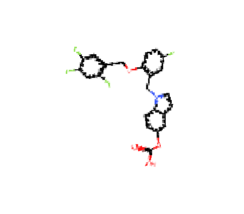 O=C(O)Oc1ccc2c(ccn2Cc2cc(F)ccc2OCc2cc(F)c(F)cc2F)c1